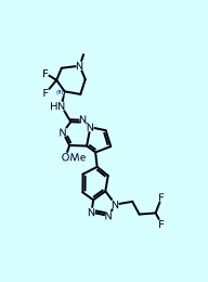 COc1nc(N[C@@H]2CCN(C)CC2(F)F)nn2ccc(-c3ccc4nnn(CCC(F)F)c4c3)c12